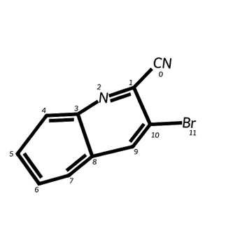 N#Cc1nc2ccccc2cc1Br